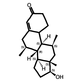 C[C@H]1C[C@]2(C)[C@@H](O)CC[C@H]2[C@H]2[C@H]1C1CCC(=O)C=C1C[C@@H]2C